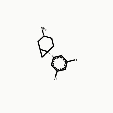 N[C@H]1CC[C@@]2(c3cc(Cl)cc(Cl)c3)CC2C1